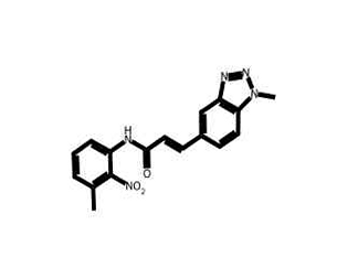 Cc1cccc(NC(=O)C=Cc2ccc3c(c2)nnn3C)c1[N+](=O)[O-]